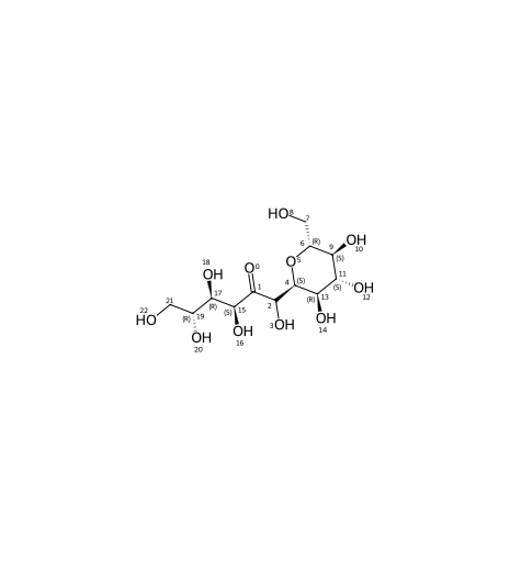 O=C(C(O)[C@H]1O[C@H](CO)[C@@H](O)[C@H](O)[C@H]1O)[C@@H](O)[C@H](O)[C@H](O)CO